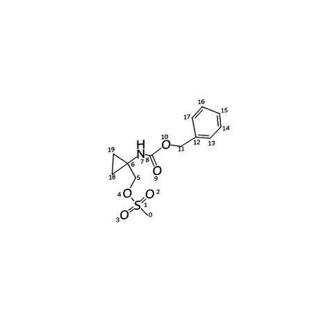 CS(=O)(=O)OCC1(NC(=O)OCc2ccccc2)CC1